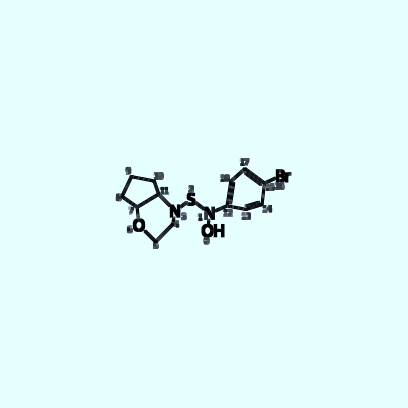 ON(SN1CCOC2CCCC21)c1ccc(Br)cc1